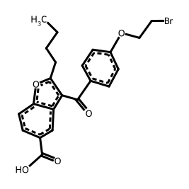 CCCCc1oc2ccc(C(=O)O)cc2c1C(=O)c1ccc(OCCBr)cc1